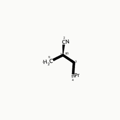 [CH2][C@@H](C#N)CCCC